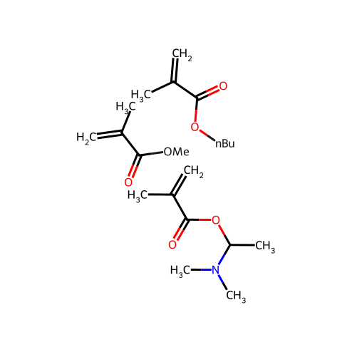 C=C(C)C(=O)OC.C=C(C)C(=O)OC(C)N(C)C.C=C(C)C(=O)OCCCC